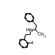 CC(Cc1ccccc1)NCCc1ccccc1I